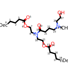 CCCCCCCCCCCCCC(=O)OCCN(CCOC(=O)CCCCCCCCCCCCC)C(=O)CCCN(C)CCO